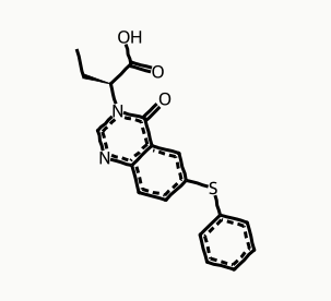 CC[C@@H](C(=O)O)n1cnc2ccc(Sc3ccccc3)cc2c1=O